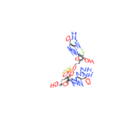 Nc1nc2c(nnn2[C@@H]2O[C@H](CO)C[C@H]2OP(=O)(S)OCC[C@H]2O[C@@H](n3nnc4c(=O)[nH]cnc43)[C@@H](F)[C@@H]2O)c(=O)[nH]1